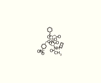 CC(=O)N[C@H]1CON(C2(C(=O)OCc3ccc([N+](=O)[O-])cc3)OC(=O)CC2Sc2ccccc2)C1=O.c1cc2ccc1-2